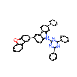 c1ccc(-c2ccc3c4cc(-c5ccc6oc7ccccc7c6c5)ccc4n(-c4nc(-c5ccccc5)nc(-c5ccccc5)n4)c3c2)cc1